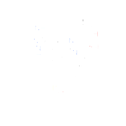 CCCCOP(=O)(COc1cccc(CN2C(=O)N(Cc3ccc4[nH]nc(NC(C)C)c4c3)[C@H](Cc3ccccc3)[C@H](O)[C@@H](O)[C@H]2Cc2ccccc2)c1)OCCCC